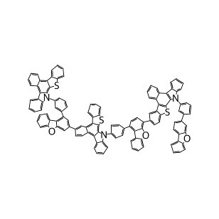 c1cc(-c2ccc3c(c2)oc2ccccc23)cc(-n2c3ccccc3c3c4ccccc4c4c5cc(-c6ccc(-c7ccc(-n8c9ccccc9c9c%10ccc(-c%11cc(-c%12cccc(-n%13c%14ccccc%14c%14c%15ccccc%15c%15c%16ccccc%16sc%15c%14%13)c%12)c%12c(c%11)oc%11ccccc%11%12)cc%10c%10c%11ccccc%11sc%10c98)cc7)c7c6oc6ccccc67)ccc5sc4c32)c1